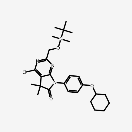 CC1(C)C(=O)N(c2ccc(OC3CCCCC3)cc2)c2nc(CO[Si](C)(C)C(C)(C)C)nc(Cl)c21